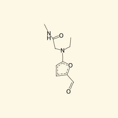 CCN(CC(=O)NC)c1ccc(C=O)o1